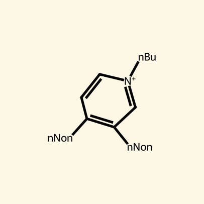 CCCCCCCCCc1cc[n+](CCCC)cc1CCCCCCCCC